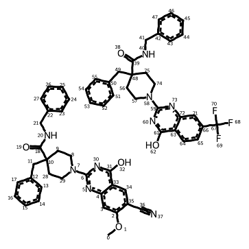 COc1cc2nc(N3CCC(Cc4ccccc4)(C(=O)NCc4ccccc4)CC3)nc(O)c2cc1C#N.O=C(NCc1ccccc1)C1(Cc2ccccc2)CCN(c2nc(O)c3ccc(C(F)(F)F)cc3n2)CC1